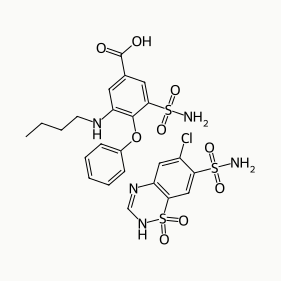 CCCCNc1cc(C(=O)O)cc(S(N)(=O)=O)c1Oc1ccccc1.NS(=O)(=O)c1cc2c(cc1Cl)N=CNS2(=O)=O